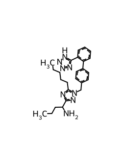 CCCCCc1nc(C(N)CCC)nn1Cc1ccc(-c2ccccc2-c2nnn[nH]2)cc1